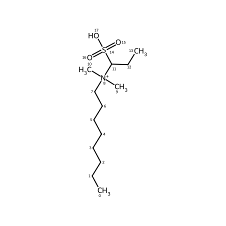 CCCCCCCC[N+](C)(C)C(CC)S(=O)(=O)O